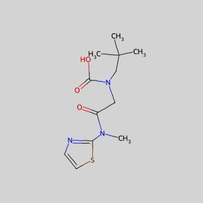 CN(C(=O)CN(CC(C)(C)C)C(=O)O)c1nccs1